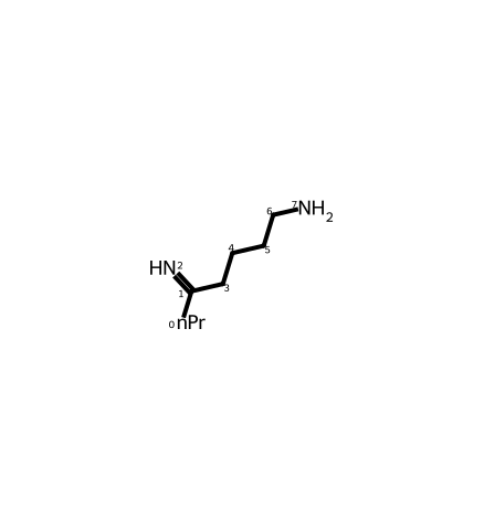 CCCC(=N)CCCCN